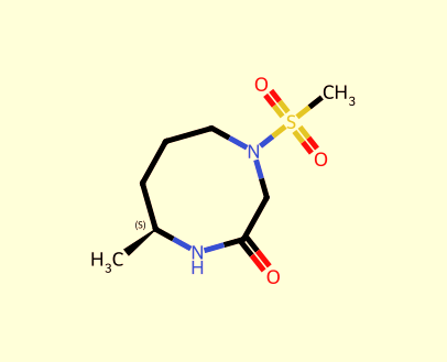 C[C@H]1CCCN(S(C)(=O)=O)CC(=O)N1